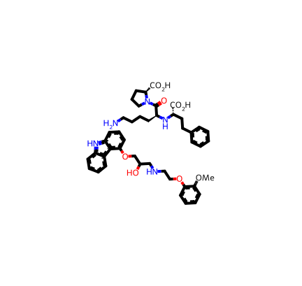 COc1ccccc1OCCNCC(O)COc1cccc2[nH]c3ccccc3c12.NCCCC[C@H](N[C@@H](CCc1ccccc1)C(=O)O)C(=O)N1CCC[C@H]1C(=O)O